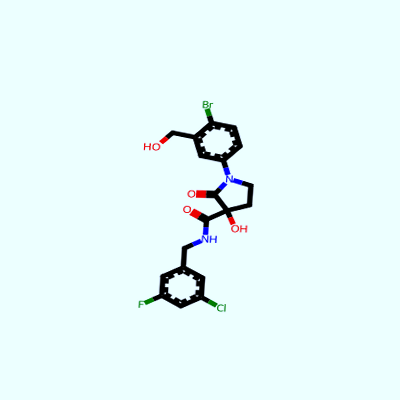 O=C(NCc1cc(F)cc(Cl)c1)C1(O)CCN(c2ccc(Br)c(CO)c2)C1=O